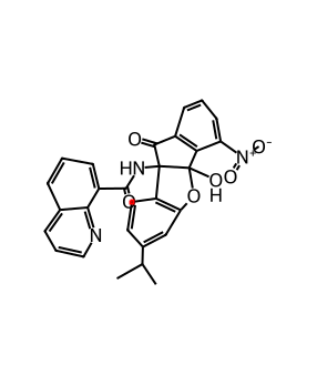 CC(C)c1ccc2c(c1)OC1(O)c3c(cccc3[N+](=O)[O-])C(=O)C21NC(=O)c1cccc2cccnc12